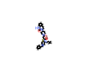 CC(C)(C)CCN1C(=O)C(CC(=O)N2CCC(N3CCc4ccccc4NC3=O)CC2)SC12CCN(Cc1ccccc1)CC2